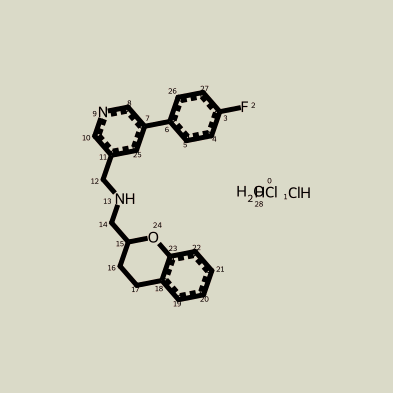 Cl.Cl.Fc1ccc(-c2cncc(CNCC3CCc4ccccc4O3)c2)cc1.O